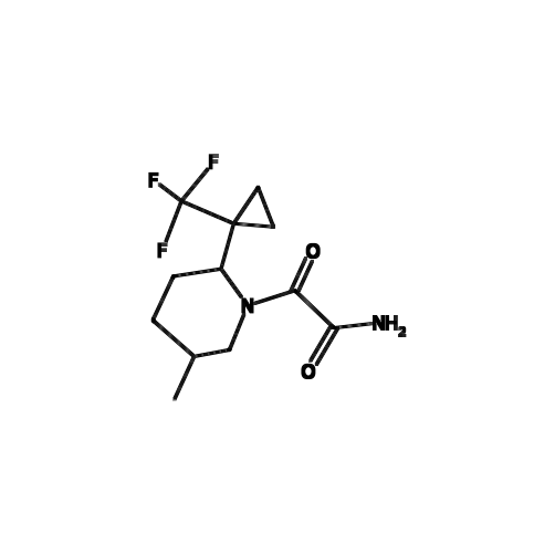 CC1CCC(C2(C(F)(F)F)CC2)N(C(=O)C(N)=O)C1